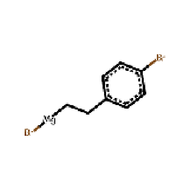 [Br][Mg][CH2]Cc1ccc(Br)cc1